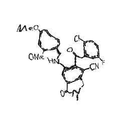 COc1ccc(CNc2cc3c(c(C#N)c2C(=O)c2cc(F)ccc2Cl)CN(C)C3=O)c(OC)c1